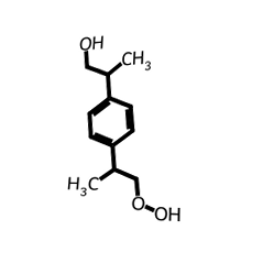 CC(CO)c1ccc(C(C)COO)cc1